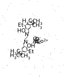 CC(=O)[O-].CC(=O)[O-].CCc1cc([Si](C)(C)C)cc(C=NCCN=Cc2cc([Si](C)(C)C)cc(CC)c2O)c1O.[Co+2]